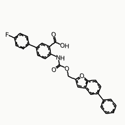 O=C(Nc1ccc(-c2ccc(F)cc2)cc1C(=O)O)OCc1cc2cc(-c3ccccc3)ccc2o1